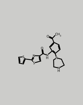 CC(=O)c1ccc(N2CCNCC2)c(NC(=O)c2csc(-c3cccs3)n2)c1